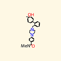 CNC(=O)c1ccc(N2CCN(Cc3ccccc3C3=CC=CC(C)(O)C=C3)CC2)cc1